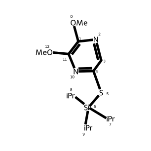 COc1ncc(S[Si](C(C)C)(C(C)C)C(C)C)nc1OC